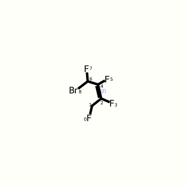 FC/C(F)=C(/F)C(F)Br